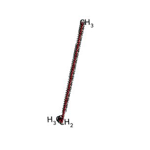 [CH2]C(CCCCCCCCCCCCCCCCCCCCCCCCCCCCCCCCCCCCCCCCCCCCCCCCCCCCCCCCCCCCCCCCCCCCCCCCCCCCCCCCCCCCCCCC)OC(C)=O